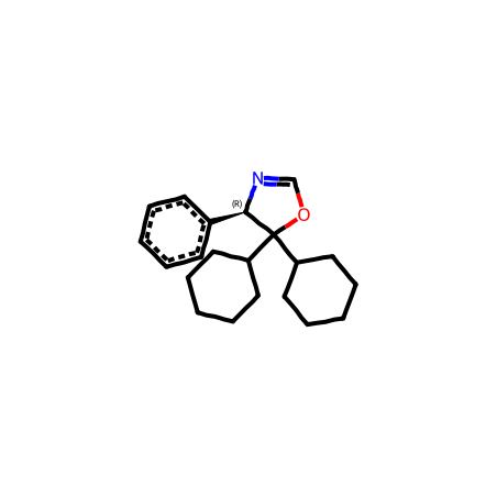 C1=N[C@H](c2ccccc2)C(C2CCCCC2)(C2CCCCC2)O1